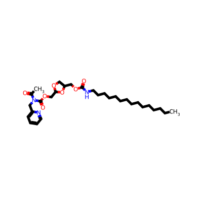 CCCCCCCCCCCCCCCNC(=O)OCC1COC(COC(=O)N(Cc2ccccn2)C(C)=O)O1